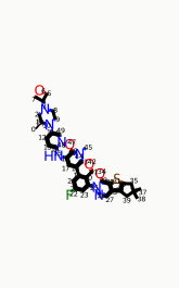 C[C@H]1CN(C2COC2)CCN1c1ccc(Nc2cc(-c3cc(F)cc(-n4ncc5c6c(sc5c4=O)CC(C)(C)C6)c3C=O)cn(C)c2=O)nc1